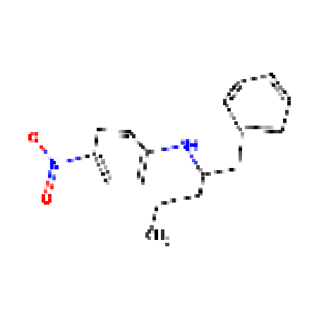 CCCC(Cc1ccccc1)Nc1ccc([N+](=O)[O-])cc1